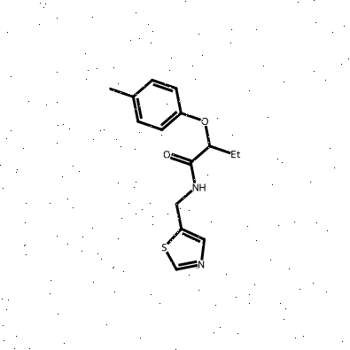 CCC(Oc1ccc(C)cc1)C(=O)NCc1cncs1